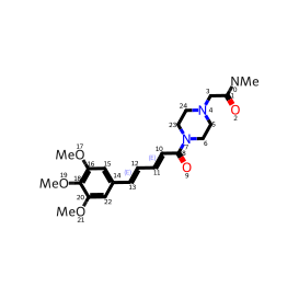 CNC(=O)CN1CCN(C(=O)/C=C/C=C/c2cc(OC)c(OC)c(OC)c2)CC1